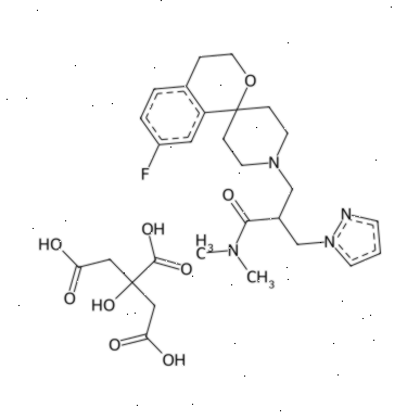 CN(C)C(=O)C(CN1CCC2(CC1)OCCc1ccc(F)cc12)Cn1cccn1.O=C(O)CC(O)(CC(=O)O)C(=O)O